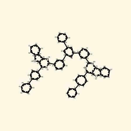 c1ccc(-c2ccc(-c3nc(-c4cccc(-c5cc(-c6ccccc6)cc(-c6cccc(-c7nc(-c8ccc(-c9ccccc9)cc8)c8oc9ccccc9c8n7)c6)c5)c4)nc4c3oc3ccccc34)cc2)cc1